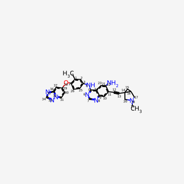 Cc1cc(Nc2ncnc3cc(C#CC45CC4CN(C)C5)c(N)cc23)ccc1Oc1ccn2ncnc2c1